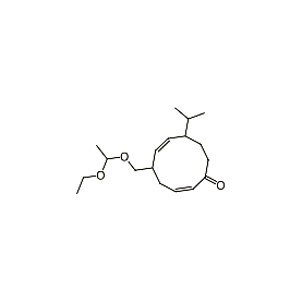 CCOC(C)OCC1C=CC(C(C)C)CCC(=O)C=CC1